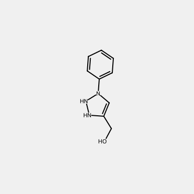 OCC1=CN(c2ccccc2)NN1